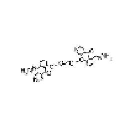 NN=Cc1cccc(OCCOCCOCCOc2cccc(C=NN)c2C(=O)c2ccncc2)c1C(=O)c1ccncc1